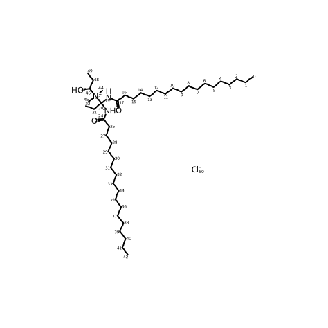 CCCCCCCCCCCCCCCCCC(=O)NC(CC)(NC(=O)CCCCCCCCCCCCCCCCC)[N+](C)(C)C(O)CC.[Cl-]